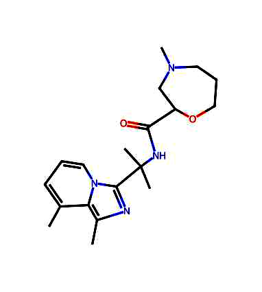 Cc1cccn2c(C(C)(C)NC(=O)C3CN(C)CCCO3)nc(C)c12